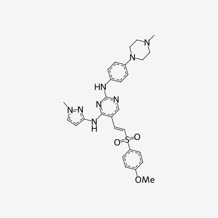 COc1ccc(S(=O)(=O)/C=C/c2cnc(Nc3ccc(N4CCN(C)CC4)cc3)nc2Nc2ccn(C)n2)cc1